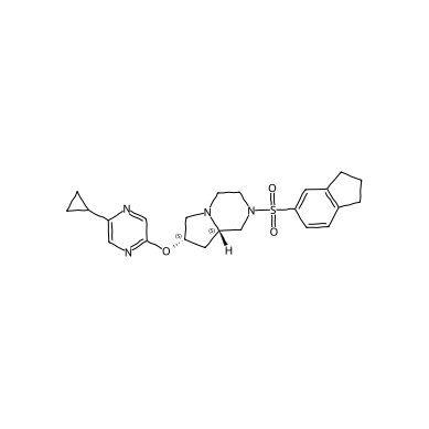 O=S(=O)(c1ccc2c(c1)CCC2)N1CCN2C[C@@H](Oc3cnc(C4CC4)cn3)C[C@H]2C1